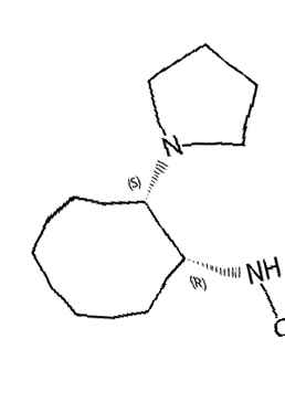 CN[C@@H]1CCCC[C@@H]1N1CCCC1